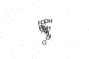 CC(C)C1(C(=O)NC(CC(=O)O)C(=O)CF)CC(c2cc(-c3ccccc3)ccn2)=NO1